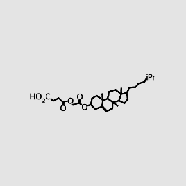 CC(C)CCCCC1CCC2C1(C)CCC1C3(C)CCC(OC(=O)COC(=O)CCC(=O)O)CC3=CCC12C